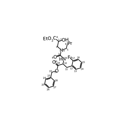 CCOC(=O)C(O)CN(CC(C)C)C(=O)NC(Cc1ccccc1F)C(=O)OCc1ccccc1